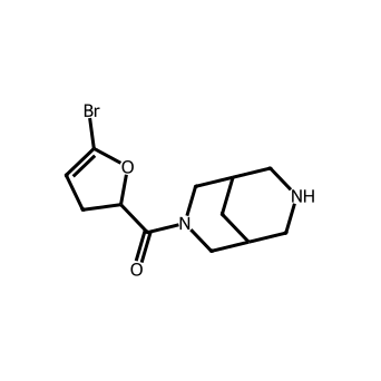 O=C(C1CC=C(Br)O1)N1CC2CNCC(C2)C1